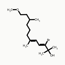 COCCC(C)CCCC(C)=CC=C(Br)C(C)(C)O